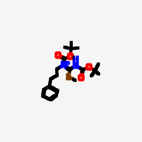 CSC(NC(=O)OC(C)(C)C)=[N+](CCCc1ccccc1)C(=O)OC(C)(C)C